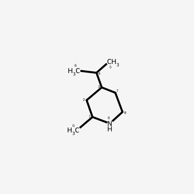 CC1CC(C(C)C)CCN1